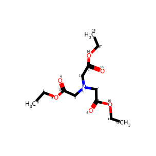 CCOC(=O)CN(CC(=O)OCC)CC(=O)OCC